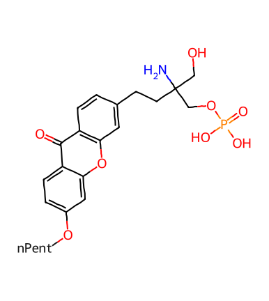 CCCCCOc1ccc2c(=O)c3ccc(CCC(N)(CO)COP(=O)(O)O)cc3oc2c1